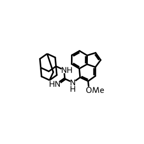 COc1cc2c3c(cccc3c1NC(=N)NC13CC4CC(CC(C4)C1)C3)C=C2